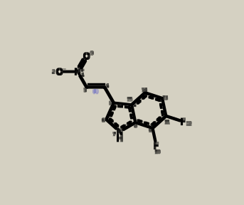 O=[N+]([O-])/C=C/c1c[nH]c2c(F)c(F)ccc12